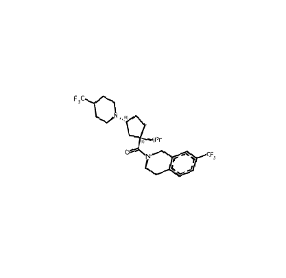 CC(C)[C@]1(C(=O)N2CCc3ccc(C(F)(F)F)cc3C2)CC[C@@H](N2CCC(C(F)(F)F)CC2)C1